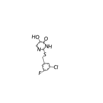 O=c1[nH]c(SCc2cc(F)cc(Cl)c2)ncc1O